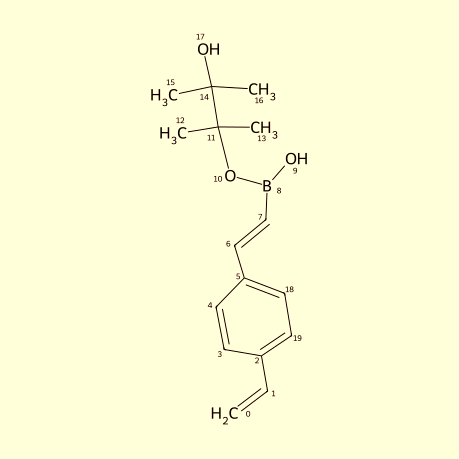 C=Cc1ccc(C=CB(O)OC(C)(C)C(C)(C)O)cc1